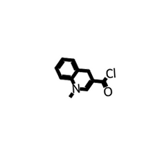 CN1C=C(C(=O)Cl)Cc2ccccc21